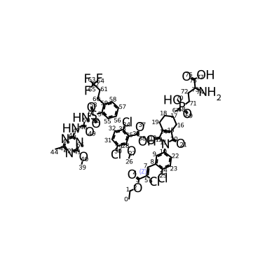 CCOC(=O)/C(Cl)=C/c1cc(N2C(=O)C3=C(CCCC3)C2=O)ccc1Cl.COc1c(Cl)ccc(Cl)c1C(=O)O.COc1nc(C)nc(NC(=O)NS(=O)(=O)c2ccccc2CCC(F)(F)F)n1.CP(=O)(O)CCC(N)C(=O)O